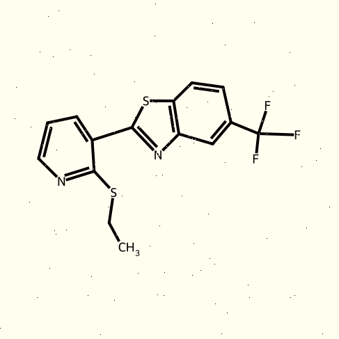 CCSc1ncccc1-c1nc2cc(C(F)(F)F)ccc2s1